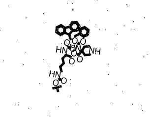 CC(C)(C)OC(=O)NCCCCC(NC(=O)OCC1c2ccccc2-c2ccccc21)C(=O)OC(=O)C1(NC(=O)OCc2ccccc2)CCNCC1